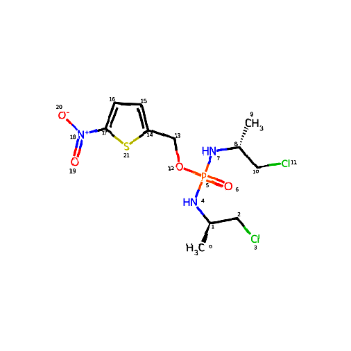 C[C@H](CCl)NP(=O)(N[C@H](C)CCl)OCc1ccc([N+](=O)[O-])s1